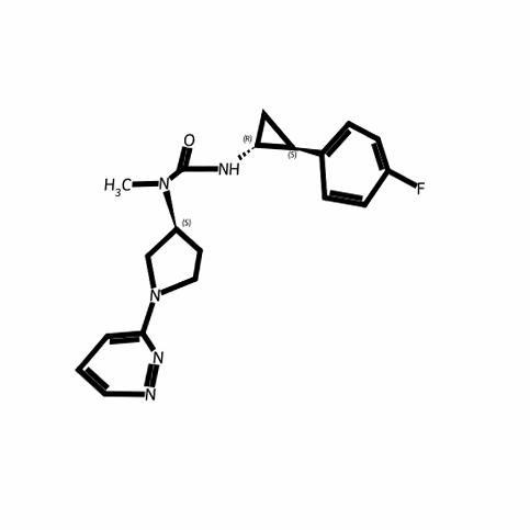 CN(C(=O)N[C@@H]1C[C@H]1c1ccc(F)cc1)[C@H]1CCN(c2cccnn2)C1